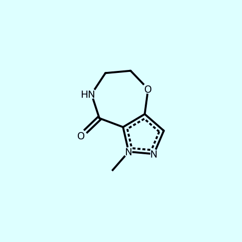 Cn1ncc2c1C(=O)NCCO2